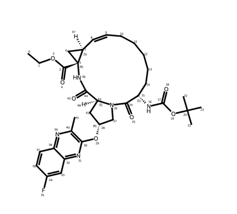 CCOC(=O)[C@@]12C[C@H]1C=CCCCCC[C@H](NC(=O)OC(C)(C)C)C(=O)N1C[C@H](Oc3nc4cc(F)ccc4nc3C)C[C@H]1C(=O)N2